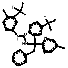 Cc1ccc(C(Cc2ccccc2)(NC(=O)Nc2ccc(C)c(C(F)(F)F)c2)c2cccc(C(F)(F)F)c2)nc1